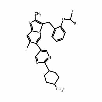 Cc1nc2cc(F)c(-c3cnc(C4CCC(C(=O)O)CC4)nc3)cn2c1Cc1ccccc1OC(F)F